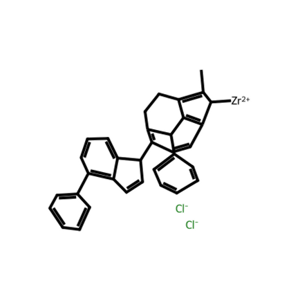 CC1=C2CCC3=C(C4C=Cc5c(-c6ccccc6)cccc54)C=CC(=C2C3c2ccccc2)[CH]1[Zr+2].[Cl-].[Cl-]